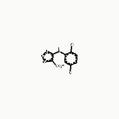 O=C(O)c1[nH]nnc1Nc1cc(Cl)ccc1Cl